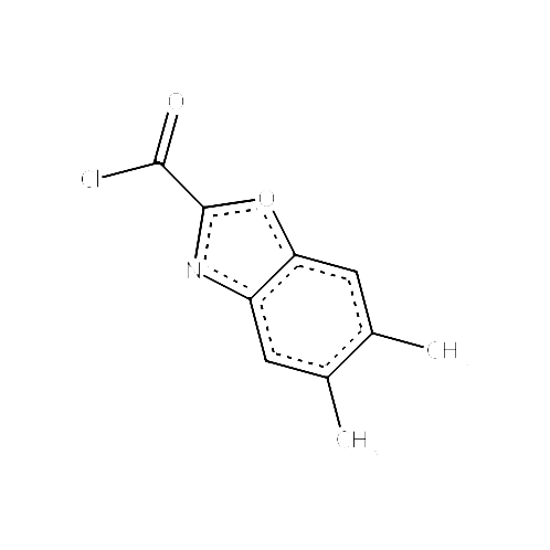 Cc1cc2nc(C(=O)Cl)oc2cc1C